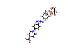 CC(=O)N1CCN(c2ccc(NC[C@H]3CC[C@H](NS(=O)(=O)C(C)(C)C)CC3)cc2)CC1